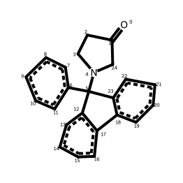 O=C1CCN(C2(c3ccccc3)c3ccccc3-c3ccccc32)C1